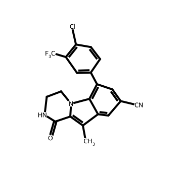 Cc1c2n(c3c(-c4ccc(Cl)c(C(F)(F)F)c4)cc(C#N)cc13)CCNC2=O